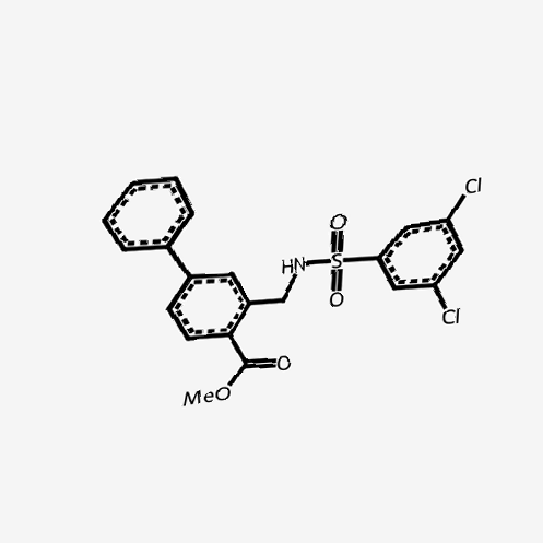 COC(=O)c1ccc(-c2ccccc2)cc1CNS(=O)(=O)c1cc(Cl)cc(Cl)c1